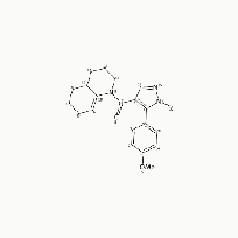 COc1ccc(-c2c(C(=O)N3CCCC4CCCC=C43)cnn2C)cc1